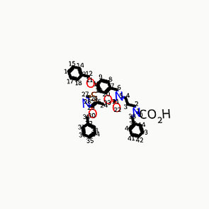 O=C(O)N(CCCN(Cc1ccc(OCc2ccccc2)cc1)C(=O)OCc1scnc1OCc1ccccc1)Cc1ccccc1